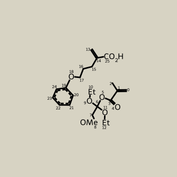 C=C(C)C(=O)OC(COC)(OCC)OCC.C=C(CCCOc1ccccc1)C(=O)O